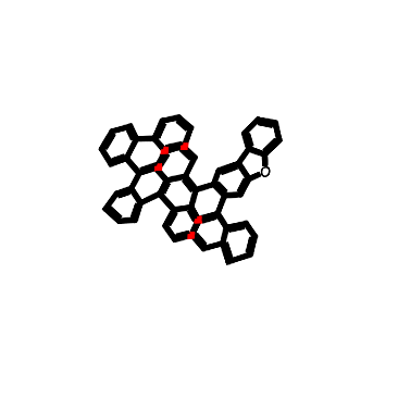 c1ccc(-c2cc3ccccc3c3ccccc23)c(-c2c3ccccc3c(-c3cc4c(cc3-c3cccc5ccccc35)oc3ccccc34)c3ccccc23)c1